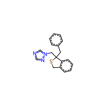 c1ccc(CC2(Cn3cncn3)SCc3ccccc32)cc1